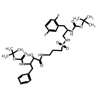 CC(C)(C)OC(=O)NC(CNS(=O)(=O)CCCNC(=O)C(O)C(Cc1ccccc1)NC(=O)OC(C)(C)C)Cc1cc(F)ccc1F